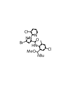 CCCCC(OC)c1cc(Cl)cc(C)c1NC(=O)c1cc(Br)nn1-c1ncccc1Cl